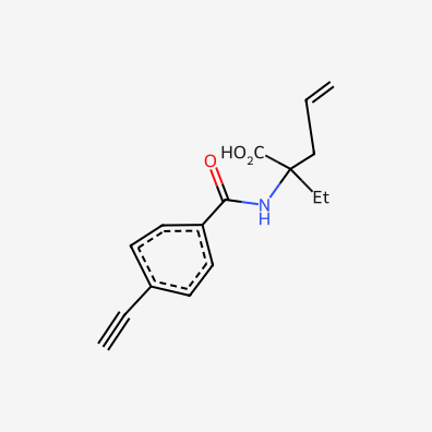 C#Cc1ccc(C(=O)NC(CC)(CC=C)C(=O)O)cc1